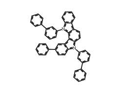 c1ccc(-c2cccc(-n3c4ccc(-c5ccccc5)cc4c4c3ccc3c5ccccc5n(-c5cccc(-c6ccccc6)c5)c34)c2)cc1